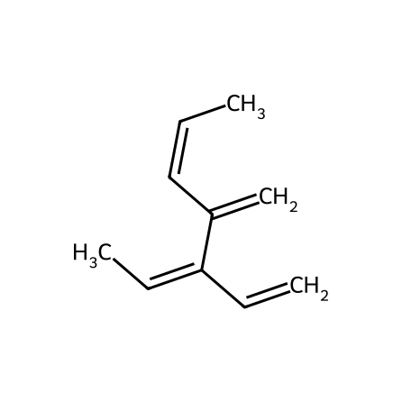 C=C/C(=C/C)C(=C)/C=C\C